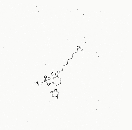 CCCCCCCCOC1C=CC(n2cncn2)=C(OC(C)=O)C1(C)C